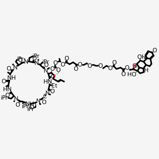 C/C=C/C[C@@H](C)[C@@H](OC(=O)OC(C)OC(=O)CCC(=O)OCCOCCOCCOC(=O)CCC(=O)OCC(=O)[C@]1(O)CC[C@H]2C3CCC4=CC(=O)C=C[C@@]4(C)C3[C@H](O)C[C@@]21C)C1C(=O)NC(CC)C(=O)N(C)CC(=O)N(C)[C@@H](CC(C)C)C(=O)NC(C(C)C)C(=O)N(C)C(CC(C)C)C(=O)NC(C)C(=O)NC(C)C(=O)N(C)C(CC(C)C)C(=O)N(C)C(CC(C)C)C(=O)N(C)C(C(C)C)C(=O)N1C